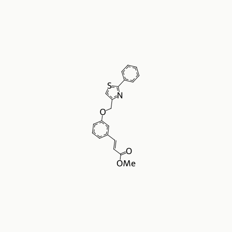 COC(=O)C=Cc1cccc(OCc2csc(-c3ccccc3)n2)c1